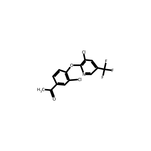 CC(=O)c1ccc(Oc2ncc(C(F)(F)F)cc2Cl)c(Cl)c1